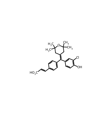 CC1(C)CC(=C(c2ccc(C=CC(=O)O)cc2)c2ccc(O)c(Cl)c2)CC(C)(C)O1